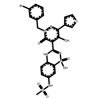 CS(=O)(=O)Nc1ccc2c(c1)P(=O)(O)N=C(c1c(O)c(-c3ccsc3)nn(Cc3cccc(Br)c3)c1=O)N2